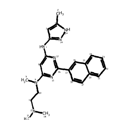 Cc1cc(Nc2cc(N(C)CCN(C)C)nc(-c3ccc4ccccc4c3)n2)n[nH]1